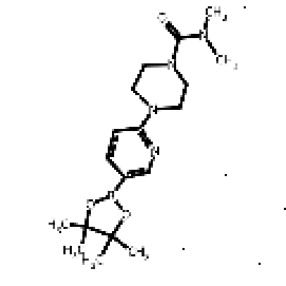 CN(C)C(=O)N1CCN(c2ccc(B3OC(C)(C)C(C)(C)O3)cn2)CC1